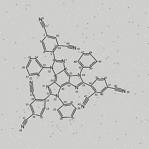 N#Cc1ccc(-c2nc3c(c4nc(-c5ccc(C#N)cc5C#N)n(-c5ccccc5)c4c4nc(-c5ccc(C#N)cc5C#N)n(-c5ccccc5)c34)n2-c2ccccc2)c(C#N)c1